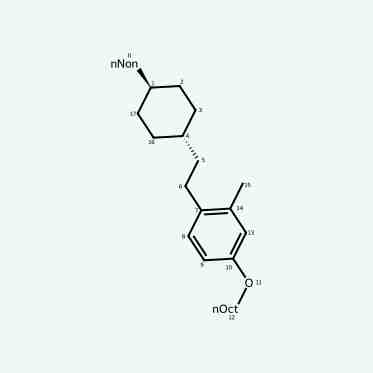 CCCCCCCCC[C@H]1CC[C@H](CCc2ccc(OCCCCCCCC)cc2C)CC1